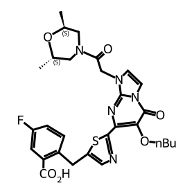 CCCCOc1c(-c2ncc(Cc3ccc(F)cc3C(=O)O)s2)nc2n(CC(=O)N3C[C@H](C)O[C@@H](C)C3)ccn2c1=O